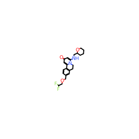 O=c1cc(NCC2CCCCO2)n2c(c1)-c1ccc(COCC(F)F)cc1CC2